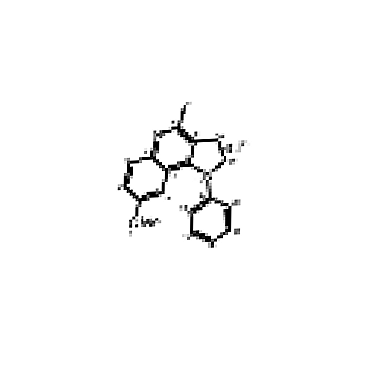 COc1ccc2nc(C)c3c(c2c1)N(c1ccccc1)CC3.Cl